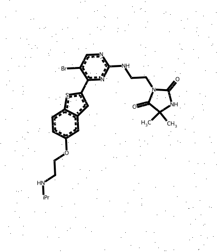 CC(C)NCCOc1ccc2sc(-c3nc(NCCN4C(=O)NC(C)(C)C4=O)ncc3Br)cc2c1